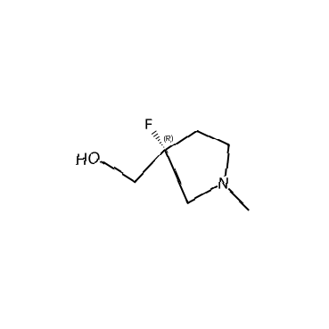 CN1CC[C@](F)(CO)C1